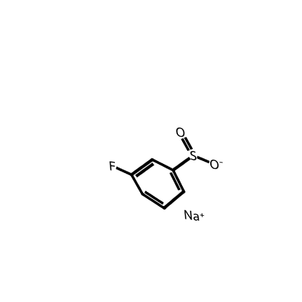 O=S([O-])c1cccc(F)c1.[Na+]